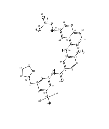 Cc1ccc(C(=O)Nc2cc(CN3CCCC3)cc(C(F)(F)F)c2)cc1Nc1ncnc2cnc(NCC(C)C)nc12